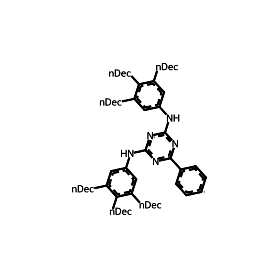 CCCCCCCCCCc1cc(Nc2nc(Nc3cc(CCCCCCCCCC)c(CCCCCCCCCC)c(CCCCCCCCCC)c3)nc(-c3cc[c]cc3)n2)cc(CCCCCCCCCC)c1CCCCCCCCCC